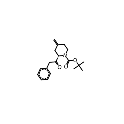 C=C1CCN(C(=O)OC(C)(C)C)[C@@H](C(=O)Cc2ccccc2)C1